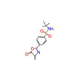 C=C1N=C(c2ccc(S(=O)(=O)NC(C)(C)C)cc2)OC1=O